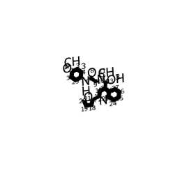 COc1ccc(NC(=O)CN(C)C(O)c2cc(-c3ccco3)nc3ccccc23)cc1